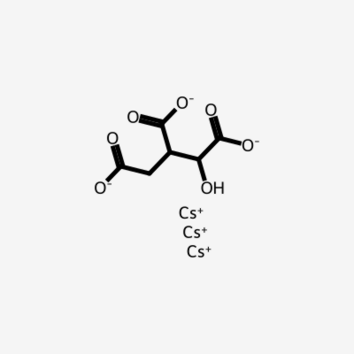 O=C([O-])CC(C(=O)[O-])C(O)C(=O)[O-].[Cs+].[Cs+].[Cs+]